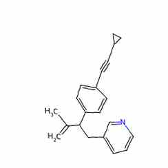 C=C(C)C(Cc1cccnc1)c1ccc(C#CC2CC2)cc1